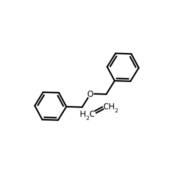 C=C.c1ccc(COCc2ccccc2)cc1